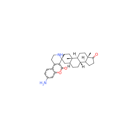 C[C@]12CC[C@]3(C[C@@H]1CC[C@@H]1[C@@H]2CC[C@]2(C)C(=O)CC[C@@H]12)NCCc1c3c(=O)oc2cc(N)ccc12